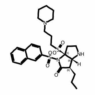 CCC[C@H]1C(=O)N(S(=O)(=O)c2ccc3ccccc3c2)[C@]2(S(=O)(=O)CCCN3CCCCC3)CCN[C@H]12